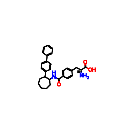 N[C@@H](Cc1ccc(C(=O)NC2CCCCCC2c2ccc(-c3ccccc3)cc2)cc1)C(=O)O